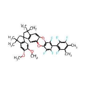 COc1cc2c(cc1OC)C1(CC2(C)C)CC(C)(C)c2cc3c(cc21)Oc1c(F)c(F)c(-c2c(F)c(C)c(C)c(F)c2F)c(F)c1O3